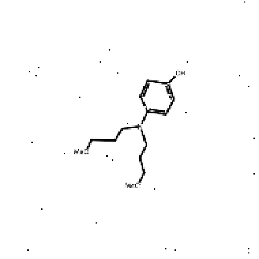 COCCCN(CCCOC)c1ccc(O)cc1